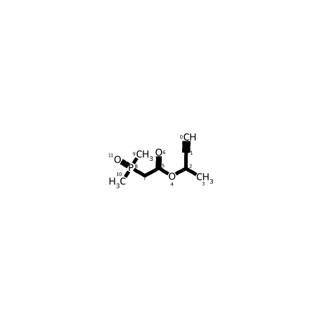 C#CC(C)OC(=O)CP(C)(C)=O